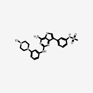 CCN1CCN(c2cccc(Nc3nc(N)c4scc(-c5cccc(NS(C)(=O)=O)c5)c4n3)c2)CC1